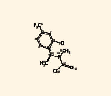 C[C@@H](c1ccc(C(F)(F)F)cc1Cl)N(C)C(=O)Cl